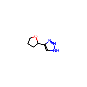 c1[nH]nnc1C1CCCO1